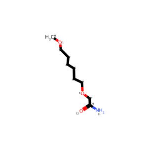 COCCCCCCOCC(N)=O